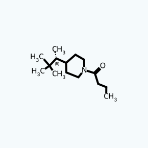 CCCC(=O)N1CCC([C@@H](C)C(C)(C)C)CC1